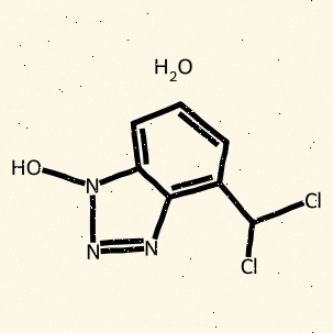 O.On1nnc2c(C(Cl)Cl)cccc21